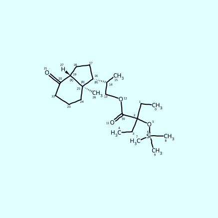 CCC(CC)(O[Si](C)(C)C)C(=O)OCC(C)[C@H]1CC[C@H]2C(=O)CCC[C@]12C